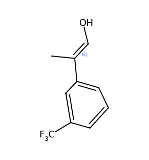 C/C(=C\O)c1cccc(C(F)(F)F)c1